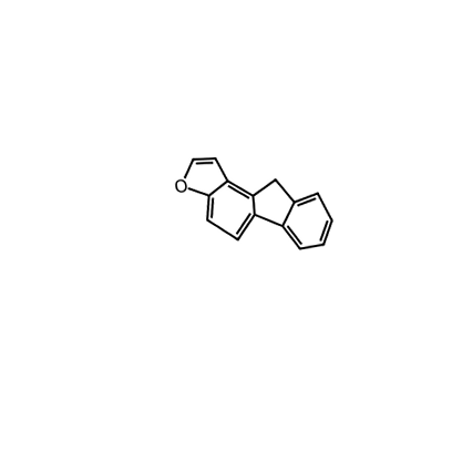 c1ccc2c(c1)Cc1c-2ccc2occc12